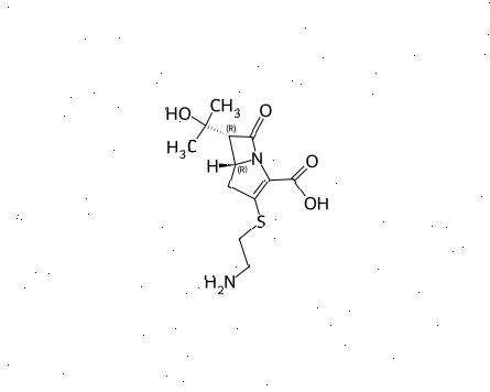 CC(C)(O)[C@@H]1C(=O)N2C(C(=O)O)=C(SCCN)C[C@H]12